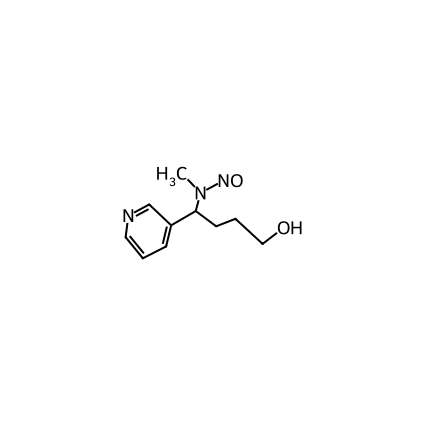 CN(N=O)C(CCCO)c1cccnc1